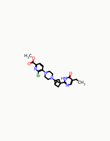 CCc1cnc(C23CC(C2)C(N2CCN(c4ccc(C(=O)OC)nc4Br)CC2)C3)[nH]c1=O